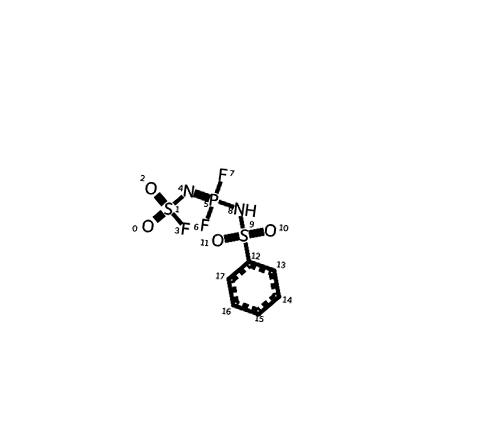 O=S(=O)(F)N=P(F)(F)NS(=O)(=O)c1ccccc1